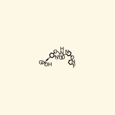 CN1C(=O)C(NC(=O)c2cc(Oc3cccc(F)n3)ccn2)COc2ccc(C#CC3(O)COC3)cc21